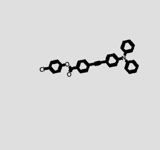 O=C(Oc1ccc(Cl)cc1)c1ccc(C#Cc2ccc(N(c3ccccc3)c3ccccc3)cc2)cc1